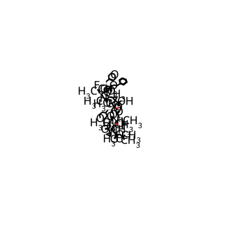 C[C@@H](OC(=O)C1(N(C)C(=O)OC(C)(C)C)CC1)C(=O)N(C)[C@@H](CC(C)(C)F)C(=O)O[C@H](CC1CCOCC1)C(=O)N(C)C1(C(=O)O)CC1[C@@H](C)C(=O)N(C)[C@@H](CC(C)(C)F)C(=O)O[C@H](CC1=CCOCC1)C(=O)OCc1ccccc1